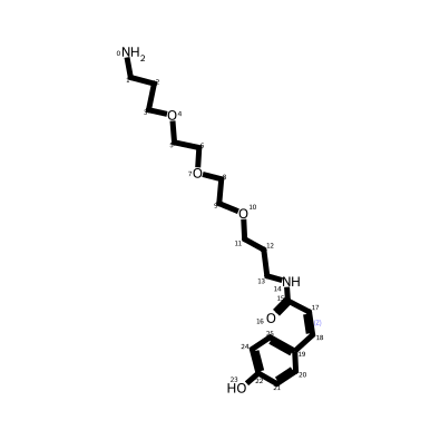 NCCCOCCOCCOCCCNC(=O)/C=C\c1ccc(O)cc1